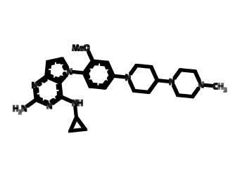 COc1cc(N2CCC(N3CCN(C)CC3)CC2)ccc1-n1ccc2nc(N)nc(NC3CC3)c21